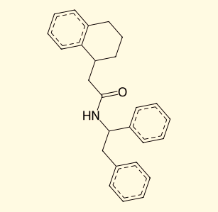 O=C(CC1CCCc2ccccc21)NC(Cc1ccccc1)c1ccccc1